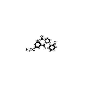 COc1cccc(C(=O)N2[C@@H](C(=O)O)CC[C@H]2c2ccccc2Cl)c1